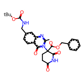 Cc1nc2cc(CNC(=O)OC(C)(C)C)ccc2c(=O)n1C1(C(=O)OCc2ccccc2)CCC(=O)NC1=O